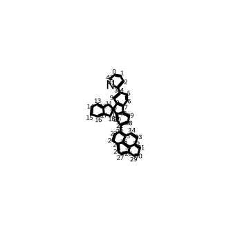 c1ccc(-c2ccc3c(c2)C2(Cc4ccccc4C2)c2cc(-c4ccc5ccc6cccc7ccc4c5c67)ccc2-3)nc1